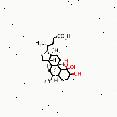 CCC[C@H]1C[C@H]2[C@@H]3CC[C@H]([C@H](C)CCC(=O)O)[C@@]3(C)CC[C@@H]2[C@]2(C)[C@H]1CCC(O)C2(O)O